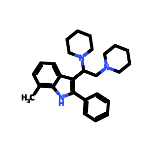 Cc1cccc2c(C(CN3CCCCC3)N3CCCCC3)c(-c3ccccc3)[nH]c12